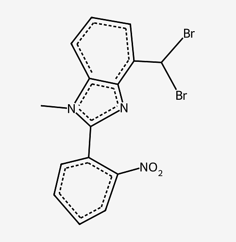 Cn1c(-c2ccccc2[N+](=O)[O-])nc2c(C(Br)Br)cccc21